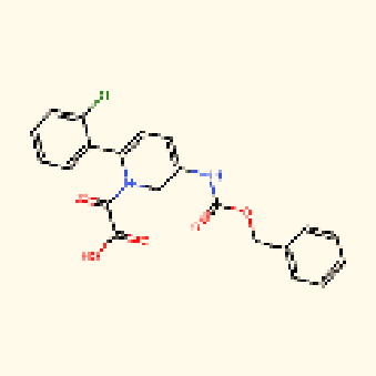 O=C(NC1=CC=C(c2ccccc2Cl)N(C(=O)C(=O)O)C1)OCc1ccccc1